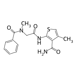 Cc1csc(NC(=O)CN(C)C(=O)c2ccccc2)c1C(N)=O